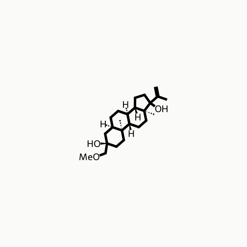 C=C(C)C1(O)CC[C@H]2[C@@H]3CC[C@@H]4C[C@@](O)(COC)CC[C@]4(C)[C@H]3CC[C@@]21C